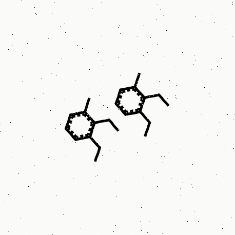 CCc1cccc(C)c1CC.CCc1cccc(C)c1CC